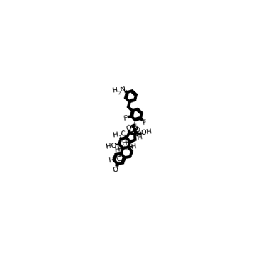 C[C@]12C=CC(=O)C=C1CC[C@@H]1[C@@H]2[C@@H](O)C[C@@]2(C)[C@H]1C[C@H]1O[C@@H](c3c(F)ccc(Cc4cccc(N)c4)c3F)O[C@]12C(=O)CO